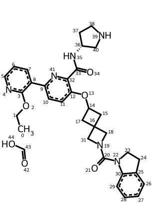 CCOc1ncccc1-c1ccc(OC2CC3(C2)CN(C(=O)N2CCc4ccccc42)C3)c(C(=O)N[C@@H]2CCNC2)n1.O=CO